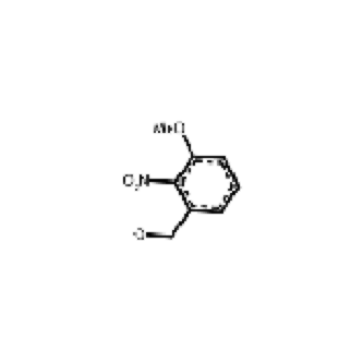 COc1cccc(C[O])c1[N+](=O)[O-]